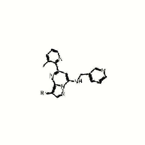 Cc1cccnc1-c1cc(NCc2cccnc2)n2ncc(Br)c2n1